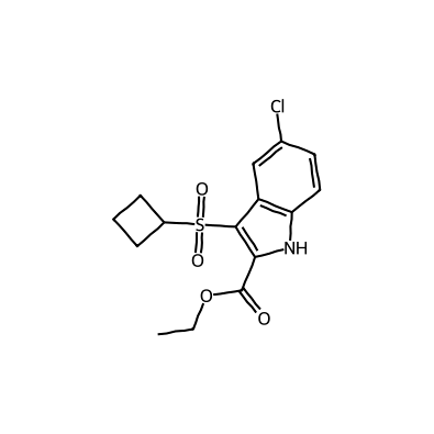 CCOC(=O)c1[nH]c2ccc(Cl)cc2c1S(=O)(=O)C1CCC1